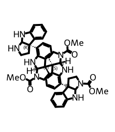 COC(=O)N1CC[C@]2(c3cccc4c3N[C@H]3N(C(=O)OC)CC[C@@]43[C@]34CCN(C(=O)OC)[C@H]3Nc3c([C@]56CCNC5Nc5ccccc56)cccc34)c3ccccc3NC12